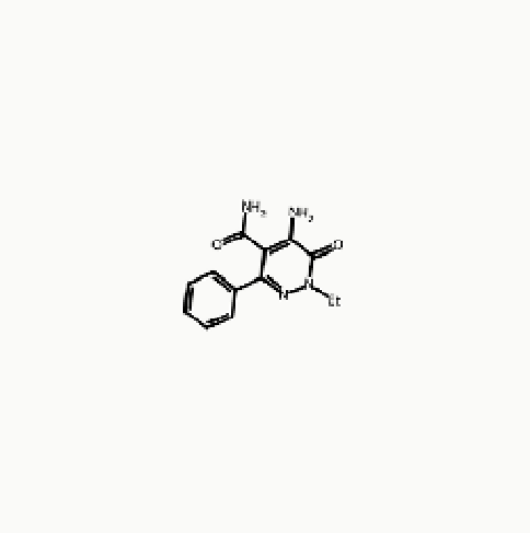 CCn1nc(-c2ccccc2)c(C(N)=O)c(N)c1=O